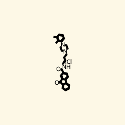 Cc1cccc(N2CCN(CCCCNC(=O)c3ccc4c(c3)C(=O)c3ccccc3-4)CC2)c1C.Cl